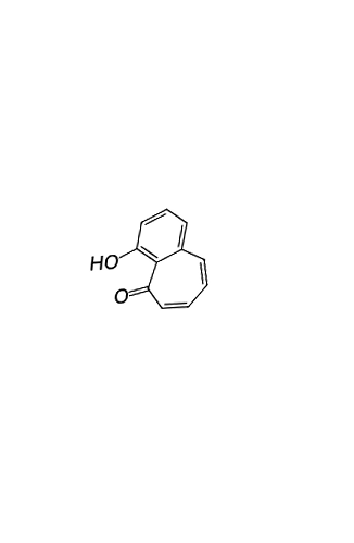 O=c1ccccc2cccc(O)c12